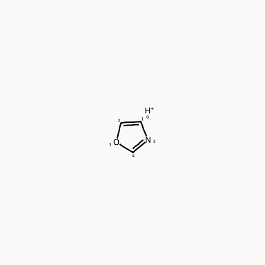 [H+].c1cocn1